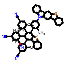 Cc1cc(-n2c3ccccc3c3cc4sc5ccccc5c4cc32)ccc1-c1c(-c2c(C)cc(C#N)cc2C)c(-c2c(C)cc(C#N)cc2C#N)c(-c2c(C)cc(C#N)cc2C)c2c1sc1ccccc12